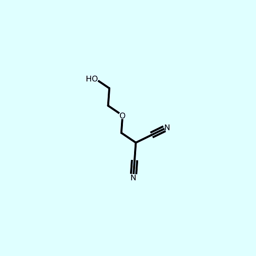 N#CC(C#N)COCCO